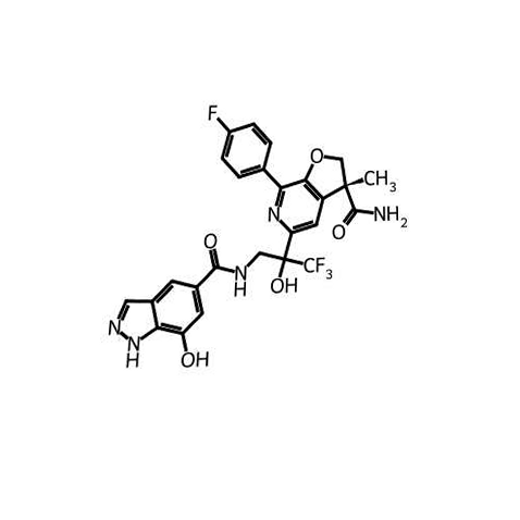 C[C@]1(C(N)=O)COc2c1cc(C(O)(CNC(=O)c1cc(O)c3[nH]ncc3c1)C(F)(F)F)nc2-c1ccc(F)cc1